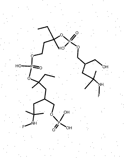 CCC(C)(CCOP(=O)(O)OC(C)(CC)CC(COP(=O)(O)O)CC(C)(C)NF)OP(=O)(O)OCC(CO)CC(C)(C)NF